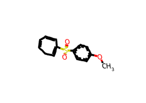 COc1ccc(S(=O)(=O)C2=CCC=CC=C2)cc1